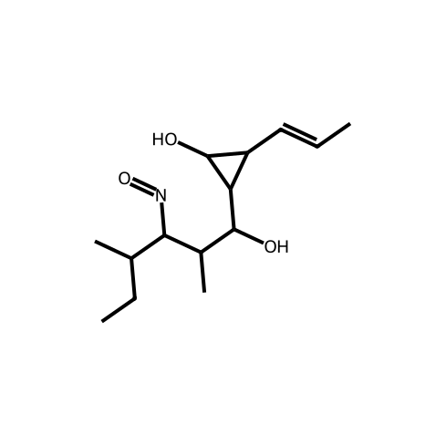 CC=CC1C(O)C1C(O)C(C)C(N=O)C(C)CC